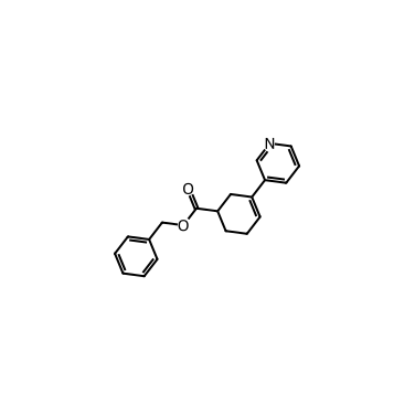 O=C(OCc1ccccc1)C1CCC=C(c2cccnc2)C1